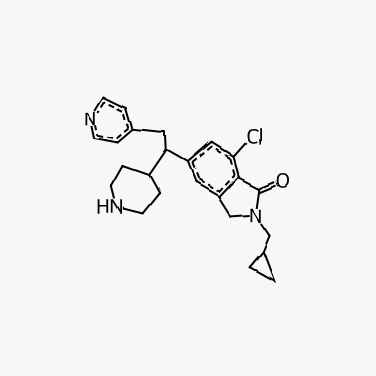 O=C1c2c(Cl)cc(C(Cc3ccncc3)C3CCNCC3)cc2CN1CC1CC1